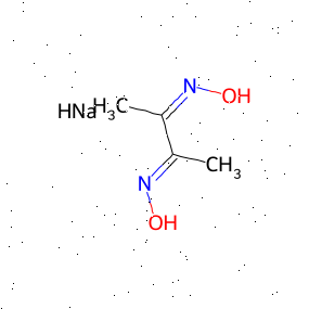 CC(=NO)C(C)=NO.[NaH]